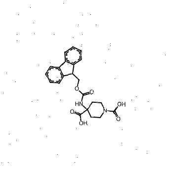 O=C(NC1(C(=O)O)CCN(C(=O)O)CC1)OCC1c2ccccc2-c2ccccc21